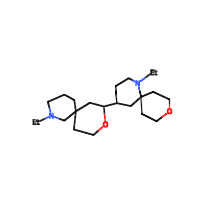 CCN1CCCC2(CCOC(C3CCN(CC)C4(CCOCC4)C3)C2)C1